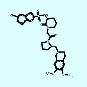 COc1cc2c(cc1OC)CN(C[C@@H]1CCCN1C(=O)CN1CCC[C@H](NS(=O)(=O)c3cc4cc(Cl)ccc4s3)C1=O)CC2